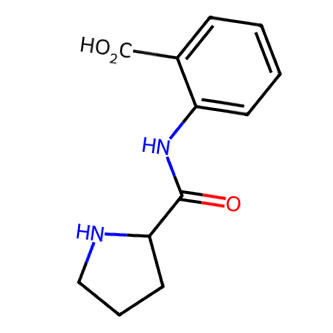 O=C(O)c1ccccc1NC(=O)C1CCCN1